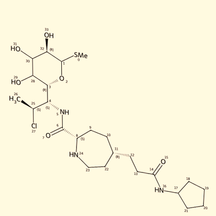 CSC1O[C@H]([C@H](NC(=O)[C@@H]2CC[C@H](CCC(=O)NC3CCCC3)CCN2)[C@H](C)Cl)C(O)C(O)[C@H]1O